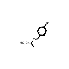 C[C@H](OCc1ccc(Br)cc1)C(=O)O